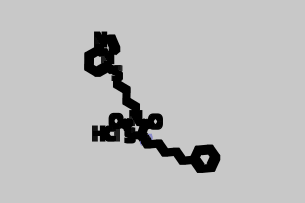 Cl.O=C1S/C(=C/CCCCc2ccccc2)C(=O)N1CCCCSc1cccc2nccn12